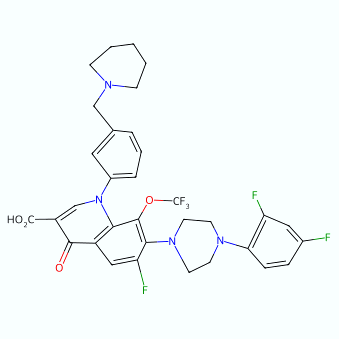 O=C(O)c1cn(-c2cccc(CN3CCCCC3)c2)c2c(OC(F)(F)F)c(N3CCN(c4ccc(F)cc4F)CC3)c(F)cc2c1=O